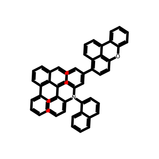 c1ccc(-c2cccc3cccc(-c4ccccc4N(c4cccc(-c5ccc6c7c(cccc57)-c5ccccc5O6)c4)c4cccc5ccccc45)c23)cc1